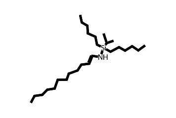 CCCCCCCCCCC=CN[Si](CCCCCC)(CCCCCC)C(C)C